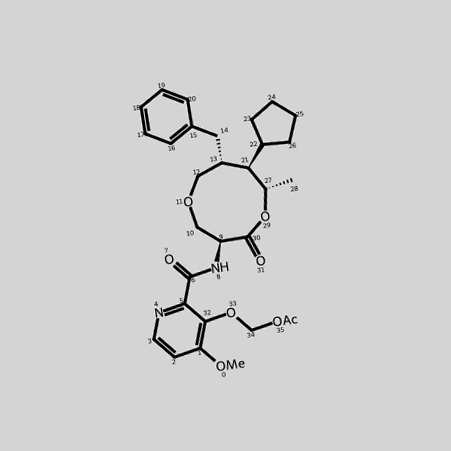 COc1ccnc(C(=O)N[C@H]2COC[C@H](Cc3ccccc3)[C@@H](C3CCCC3)[C@H](C)OC2=O)c1OCOC(C)=O